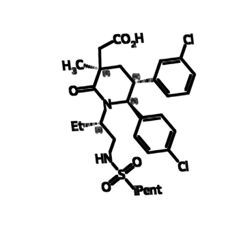 CCCC(C)S(=O)(=O)NC[C@H](CC)N1C(=O)[C@@](C)(CC(=O)O)C[C@H](c2cccc(Cl)c2)[C@H]1c1ccc(Cl)cc1